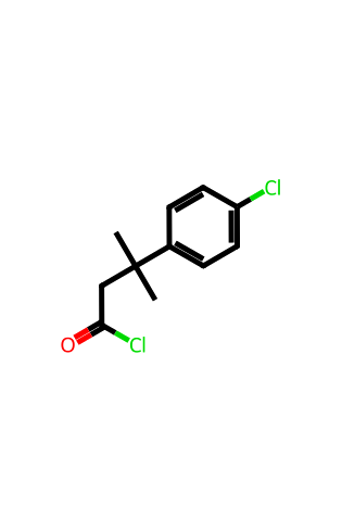 CC(C)(CC(=O)Cl)c1ccc(Cl)cc1